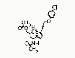 CC(=O)NC(C[C@@H](C)COC(C)=O)c1ccc(C#CCOc2ccc(Cl)cc2)s1